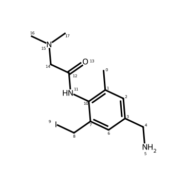 Cc1cc(CN)cc(CI)c1NC(=O)CN(C)C